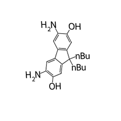 CCCCC1(CCCC)c2cc(O)c(N)cc2-c2cc(N)c(O)cc21